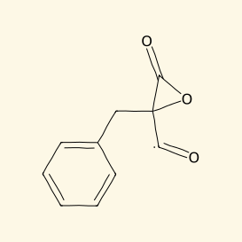 O=[C]C1(Cc2ccccc2)OC1=O